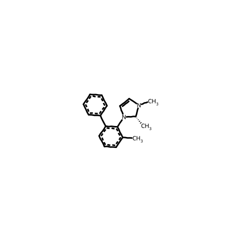 Cc1cccc(-c2ccccc2)c1N1C=CN(C)[C@@H]1C